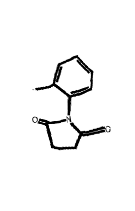 [CH2]c1ccccc1N1C(=O)CCC1=O